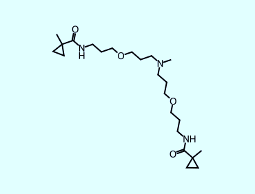 CN(CCCOCCCNC(=O)C1(C)CC1)CCCOCCCNC(=O)C1(C)CC1